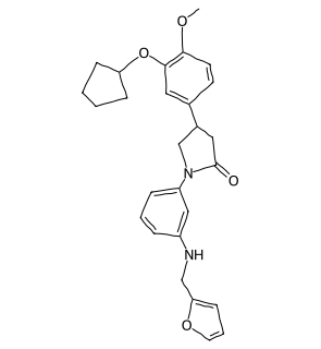 COc1ccc(C2CC(=O)N(c3cccc(NCc4ccco4)c3)C2)cc1OC1CCCC1